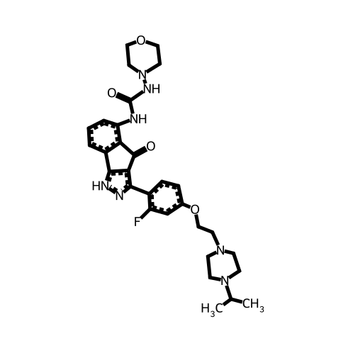 CC(C)N1CCN(CCOc2ccc(-c3n[nH]c4c3C(=O)c3c(NC(=O)NN5CCOCC5)cccc3-4)c(F)c2)CC1